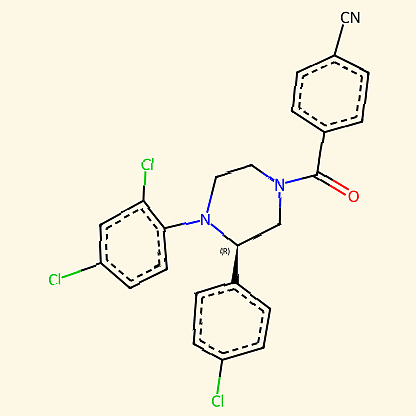 N#Cc1ccc(C(=O)N2CCN(c3ccc(Cl)cc3Cl)[C@H](c3ccc(Cl)cc3)C2)cc1